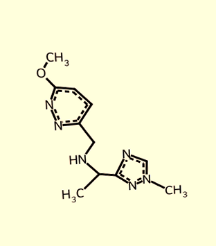 COc1ccc(CNC(C)c2ncn(C)n2)nn1